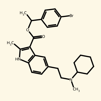 Cc1[nH]c2ccc(CCN(C)C3CCCCC3)cc2c1C(=O)OC(C)c1ccc(Br)cc1